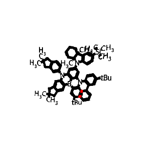 CC1(C)Cc2ccc(N3c4cc5c(cc4B4c6cc(C(C)(C)C)ccc6N(c6ccc(C(C)(C)C)cc6-c6ccccc6)c6cc(N7c8ccc([Si](C)(C)C)cc8C8(C)CCCCC78C)cc3c64)CC(C)(C)C5)cc2C1